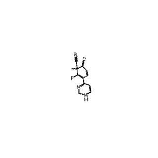 CC1(C#N)C(=O)C=CC(C2=NCNC=C2)=C1F